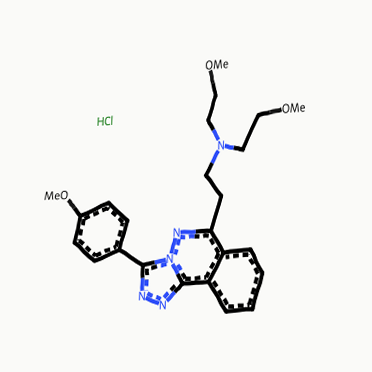 COCCN(CCOC)CCc1nn2c(-c3ccc(OC)cc3)nnc2c2ccccc12.Cl